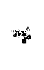 CC(=O)N(c1cccs1)C1C(=O)N2CC(C=NNC=O)(C(=O)OC(c3ccccc3)c3ccccc3)CS[C@H]12